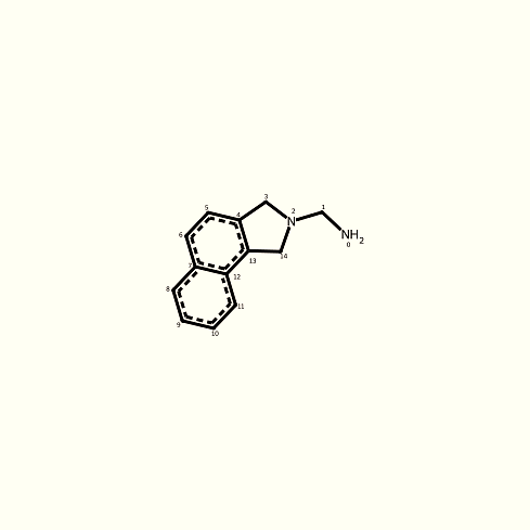 NCN1Cc2ccc3ccccc3c2C1